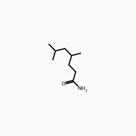 CC(C)CC(C)CCC(N)=O